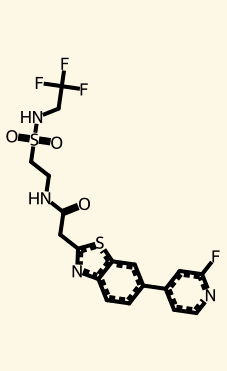 O=C(Cc1nc2ccc(-c3ccnc(F)c3)cc2s1)NCCS(=O)(=O)NCC(F)(F)F